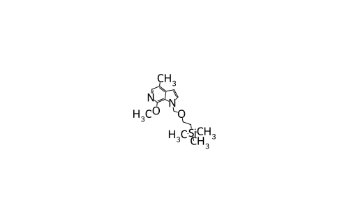 COc1ncc(C)c2ccn(COCC[Si](C)(C)C)c12